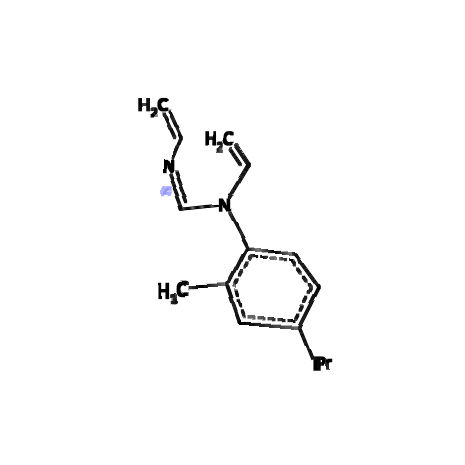 C=C/N=C\N(C=C)c1ccc(C(C)C)cc1C